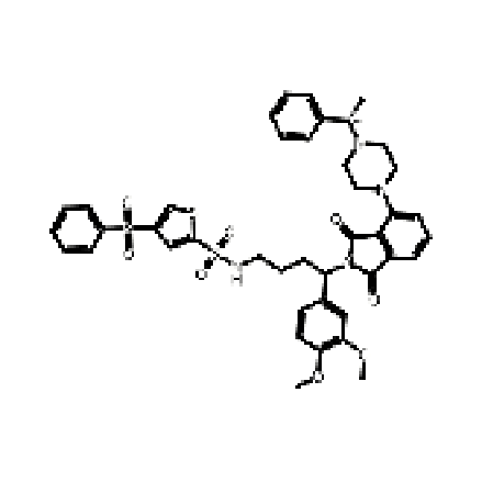 COc1ccc(C(CCCNS(=O)(=O)c2cc(S(=O)(=O)c3ccccc3)cs2)N2C(=O)c3cccc(N4CCN([C@H](C)c5ccccc5)CC4)c3C2=O)cc1OC